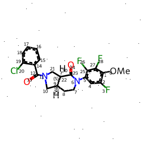 COc1c(F)cc(N2CC[C@H]3CN(C(=O)c4ccccc4Cl)C[C@H]3C2=O)c(F)c1F